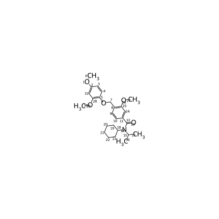 COc1ccc(OCc2ccc(C(=O)N(C(C)C)C3CCCCC3)cc2OC)c(OC)c1